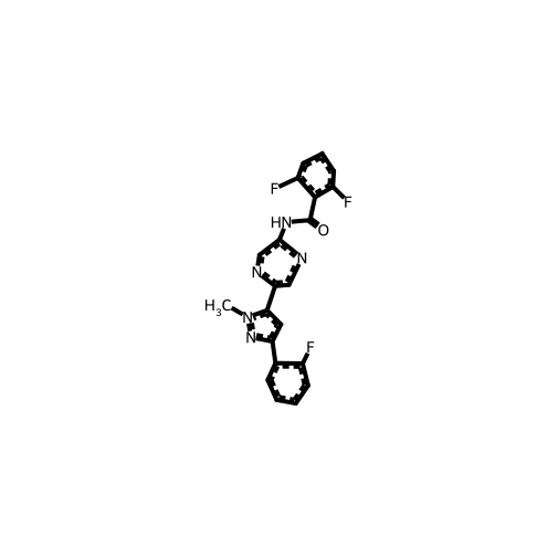 Cn1nc(-c2ccccc2F)cc1-c1cnc(NC(=O)c2c(F)cccc2F)cn1